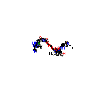 Cc1ncsc1-c1ccc(CNC(=O)[C@@H]2C[C@@H](O)CN2C(=O)[C@@H](NC(=O)COCCOCCOCC(=O)N2CCN(C(=O)c3ccc(Nc4nc(C5CC5)cn5c(-c6cn[nH]c6)cnc45)c(F)c3)CC2)C(C)(C)C)cc1